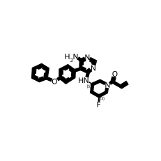 C=CC(=O)N1C[C@@H](F)C[C@H](Nc2ncnc(N)c2-c2ccc(Oc3ccccc3)cc2)C1